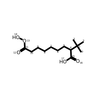 CC(C)(C)C(CCCCCCC(=O)OO)C(=O)O